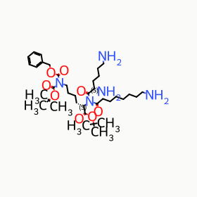 CC(C)(C)OC(=O)[C@H](CCCCN(C(=O)OCc1ccccc1)C(=O)OC(C)(C)C)N(C(=O)CCCCCCCN)C(=O)[C@@H](N)CCCCN